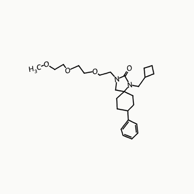 COCCOCCOCCN1CC2(CCC(c3ccccc3)CC2)N(CC2CCC2)C1=O